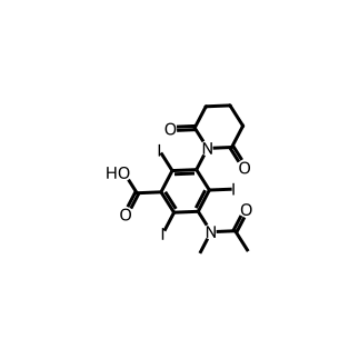 CC(=O)N(C)c1c(I)c(C(=O)O)c(I)c(N2C(=O)CCCC2=O)c1I